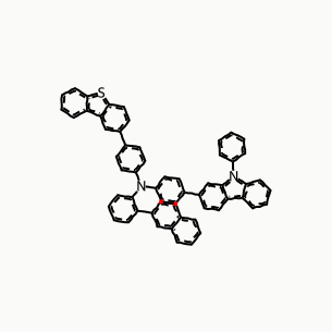 c1ccc(-n2c3ccccc3c3ccc(-c4ccc(N(c5ccc(-c6ccc7sc8ccccc8c7c6)cc5)c5ccccc5-c5ccc6ccccc6c5)cc4)cc32)cc1